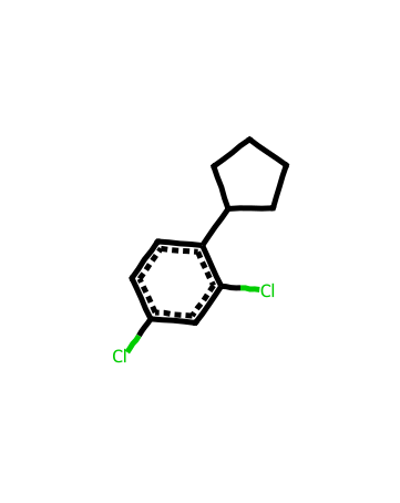 Clc1ccc(C2CCCC2)c(Cl)c1